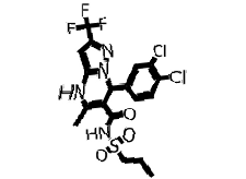 CCCS(=O)(=O)NC(=O)C1=C(C)Nc2cc(C(F)(F)F)nn2C1c1ccc(Cl)c(Cl)c1